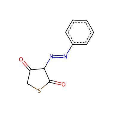 O=C1CSC(=O)C1N=Nc1ccccc1